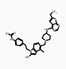 CCC(=O)Nc1ccc(CCn2c(C#N)cc3c(C)c(CN4CCC(Nc5ncnc6sc(CC(F)(F)F)cc56)CC4)ccc32)cc1